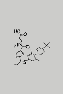 CCC(Sc1cc(C)c(-c2ccc(C(C)(C)C)cc2)c(C)c1)c1ccc(C(=O)NCCC(=O)O)s1